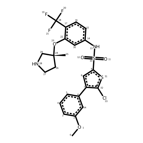 COc1cccc(-c2cc(S(=O)(=O)Nc3ccc(C(F)(F)F)c(O[C@]4(C)CCNC4)c3)sc2Cl)c1